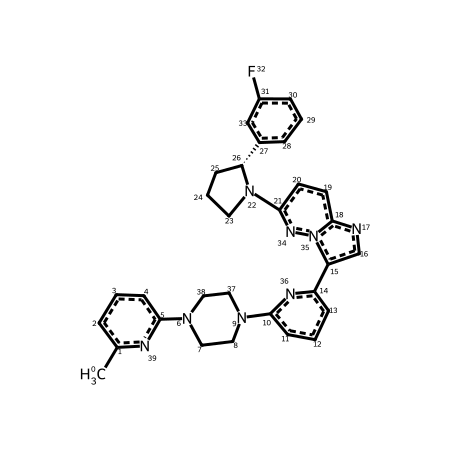 Cc1cccc(N2CCN(c3cccc(-c4cnc5ccc(N6CCC[C@@H]6c6cccc(F)c6)nn45)n3)CC2)n1